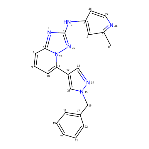 Cc1cc(Nc2nc3cccc(-c4cnn(Cc5ccccc5)c4)n3n2)ccn1